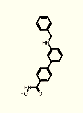 O=C(NO)c1ccc(-c2cccc(NCc3ccccc3)c2)cc1